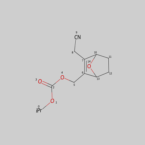 CC(C)OC(=O)OCC1=C(CC#N)C2CCC1O2